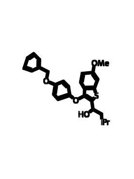 COc1ccc2c(Oc3ccc(OCc4ccccc4)cc3)c(C(O)CC(C)C)sc2c1